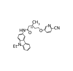 CCn1c2ccccc2c2cc(NC(=O)C[C@@H](C)CCOc3ccc(C#N)nc3)ccc21